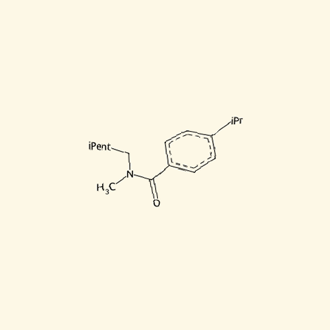 CCCC(C)CN(C)C(=O)c1ccc(C(C)C)cc1